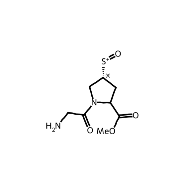 COC(=O)C1C[C@@H]([S+]=O)CN1C(=O)CN